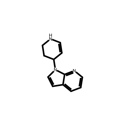 C1=CC(n2ccc3cccnc32)CCN1